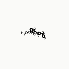 C=CCOc1cccn2c(=O)c(CCN3CCC(c4onc5cc(F)ccc45)CC3)c(C)nc12